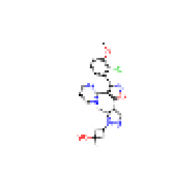 COc1cccc(-c2noc(-c3cnn(C4CC(C)(O)C4)c3C)c2-c2ncccn2)c1Cl